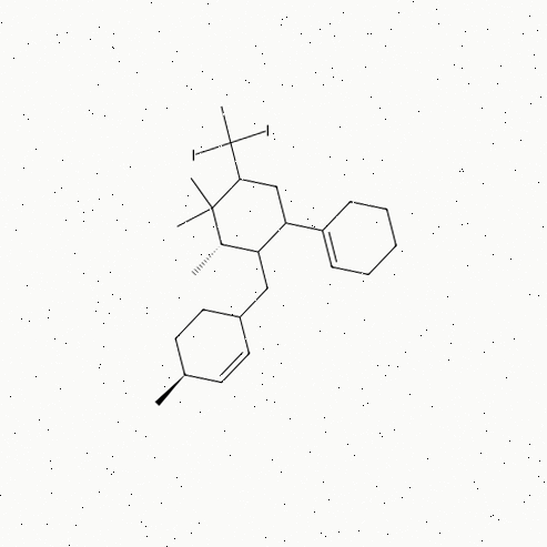 C[C@@H]1C=CC(CC2C(C3=CCCCC3)CC(C(C)(I)I)C(C)(C)[C@H]2C)CC1